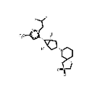 O=S1(=O)CC[C@]2(CCCN([C@@H]3C[C@@H]4[C@H](C3)[C@H]4c3cc(C(F)(F)F)nn3CC(F)F)C2)C1